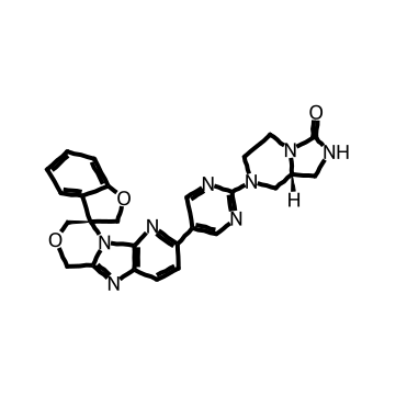 O=C1NC[C@@H]2CN(c3ncc(-c4ccc5nc6n(c5n4)[C@@]4(COC6)COc5ccccc54)cn3)CCN12